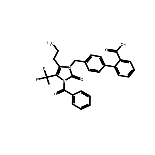 CCCc1c(C(F)(F)F)n(C(=O)c2ccccc2)c(=O)n1Cc1ccc(-c2ccccc2C(=O)O)cc1